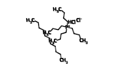 CCCCCCCCCCC.CCCC[P+](CCCC)(CCCC)CCCC.Cl.[Cl-]